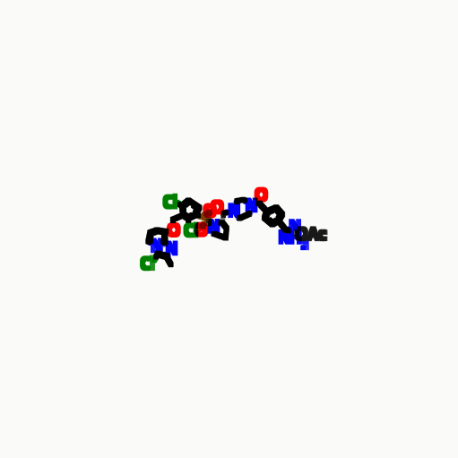 CC(=O)ON=C(N)c1ccc(C(=O)N2CCN(C(=O)[C@@H]3CCCN3S(=O)(=O)c3ccc(Cl)c(COc4cccn5c(Cl)c(C)nc45)c3Cl)CC2)cc1